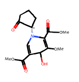 COC(=O)C1=CN([C@H]2CCCC2=O)C(C(=O)OC)=C(OC)C1O